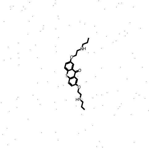 CCCNCCOc1ccc2sc3ccc(OCCNCCC)cc3c(=O)c2c1